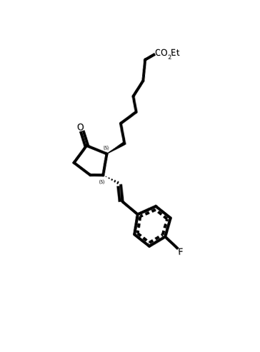 CCOC(=O)CCCCCC[C@@H]1C(=O)CC[C@H]1C=Cc1ccc(F)cc1